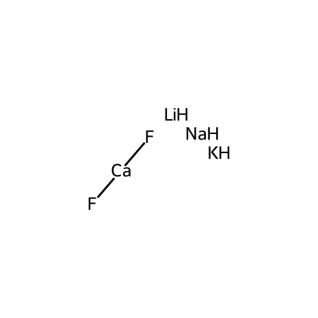 [F][Ca][F].[KH].[LiH].[NaH]